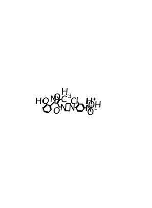 Cc1onc(-c2ccccc2O)c1C(=O)N1CCN(c2ccc([NH+]([O-])O)cc2Cl)CC1